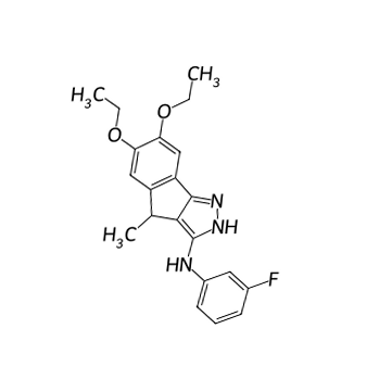 CCOc1cc2c(cc1OCC)C(C)c1c-2n[nH]c1Nc1cccc(F)c1